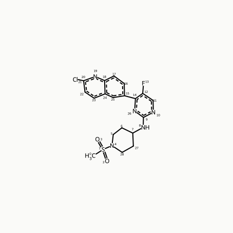 CS(=O)(=O)N1CCC(Nc2ncc(F)c(-c3ccc4nc(Cl)ccc4c3)n2)CC1